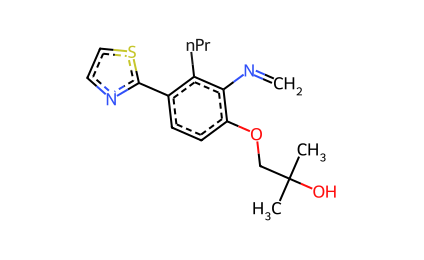 C=Nc1c(OCC(C)(C)O)ccc(-c2nccs2)c1CCC